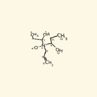 C=CC[N+]([O-])(C(O)CC)C(O)CC